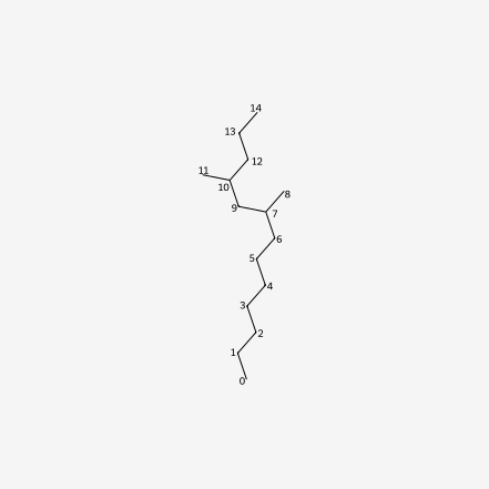 CCCCCCCC(C)CC(C)CCC